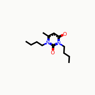 CCCCn1c(C)cc(=O)n(CCCC)c1=O